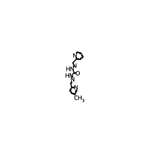 Cc1ccc(/C=N/NC(=O)N/N=C/c2ccccn2)nc1